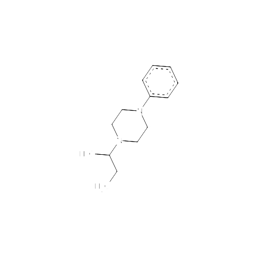 [CH2]CC(C)N1CCN(c2ccccc2)CC1